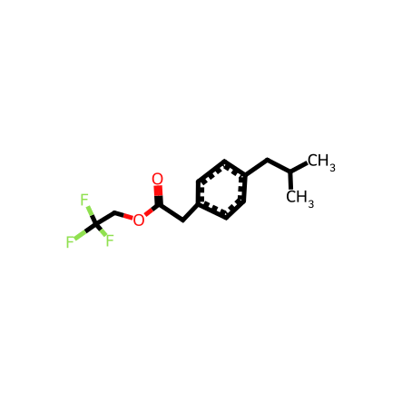 CC(C)Cc1ccc(CC(=O)OCC(F)(F)F)cc1